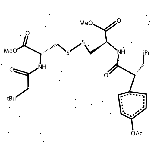 COC(=O)[C@H](CSSC[C@H](NC(=O)[C@H](CC(C)C)c1ccc(OC(C)=O)cc1)C(=O)OC)NC(=O)CC(C)(C)C